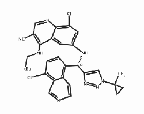 CC(C)(C)CNc1c(C#N)cnc2c(Cl)cc(N[C@H](c3cn(C4(C(F)(F)F)CC4)nn3)c3ccc(Cl)c4cnccc34)cc12